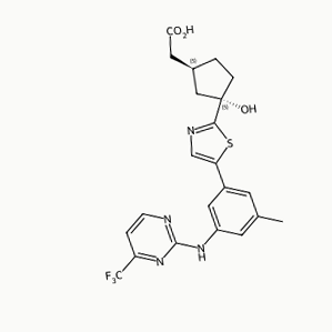 Cc1cc(Nc2nccc(C(F)(F)F)n2)cc(-c2cnc([C@]3(O)CC[C@H](CC(=O)O)C3)s2)c1